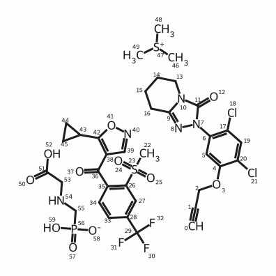 C#CCOc1cc(-n2nc3n(c2=O)CCCC3)c(Cl)cc1Cl.CS(=O)(=O)c1cc(C(F)(F)F)ccc1C(=O)c1cnoc1C1CC1.C[S+](C)C.O=C(O)CNCP(=O)([O-])O